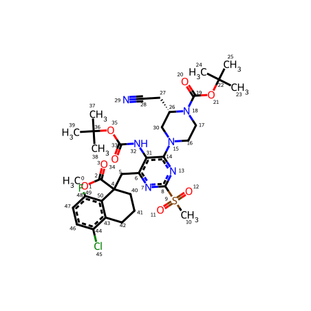 COC(=O)C1(Cc2nc(S(C)(=O)=O)nc(N3CCN(C(=O)OC(C)(C)C)[C@@H](CC#N)C3)c2NC(=O)OC(C)(C)C)CCCc2c(Cl)ccc(F)c21